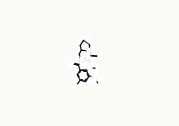 CCN1CCCC1CNC(=S)c1cc(C)cc(OC)c1OC